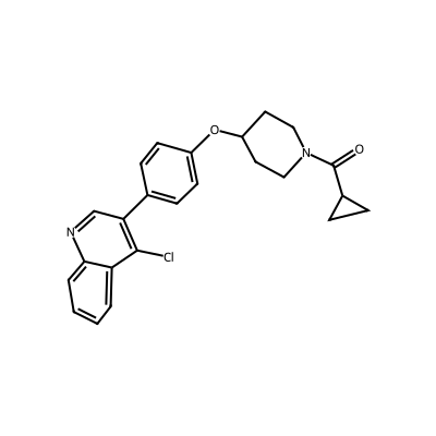 O=C(C1CC1)N1CCC(Oc2ccc(-c3cnc4ccccc4c3Cl)cc2)CC1